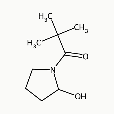 CC(C)(C)C(=O)N1CCCC1O